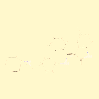 O=C1Nc2ccc([N+](=O)[O-])cc2/C1=C(/Nc1ccc(CNC2CCCCC2)cc1)c1ccccc1